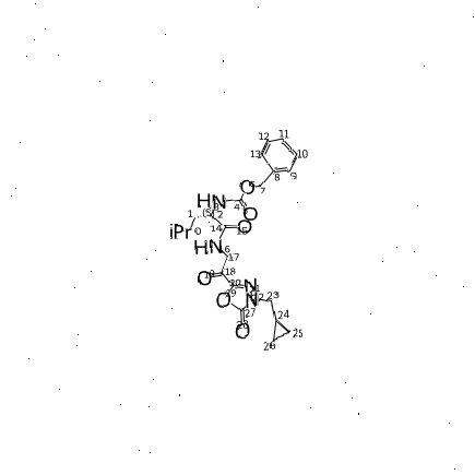 CC(C)C[C@H](NC(=O)OCc1ccccc1)C(=O)NCC(=O)c1nn(CC2CC2)c(=O)o1